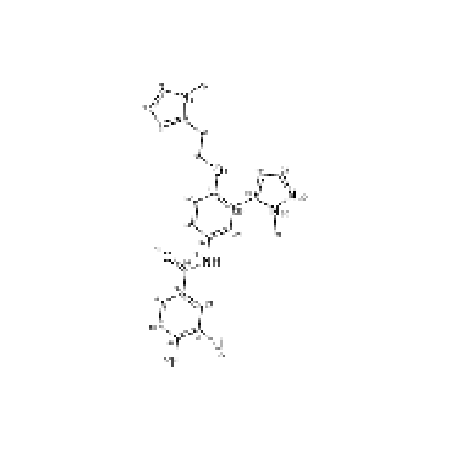 Cn1cccc1CCOc1ccc(NC(=O)c2ccc(F)c(Cl)c2)cc1-c1ccnn1C